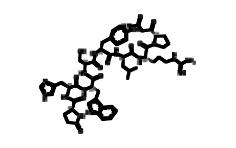 CC(C)C[C@@H](NC(=O)[C@H](Cc1ccc(O)cc1)NC(=O)[C@H](CO)NC(=O)[C@H](Cc1c[nH]c2ccccc12)NC(=O)[C@H](Cc1c[nH]cn1)NC(=O)[C@@H]1CCC(=O)N1)C(=O)N[C@@H](CCCNC(=N)N)C(=O)N1CCC[C@H]1C(=O)CC(N)=O